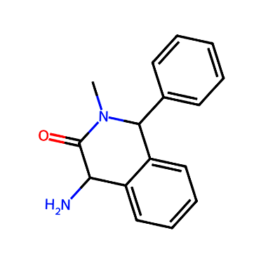 CN1C(=O)C(N)c2ccccc2C1c1ccccc1